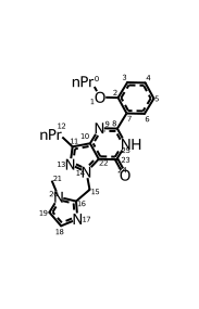 CCCOc1ccccc1-c1nc2c(CCC)nn(Cc3nccn3C)c2c(=O)[nH]1